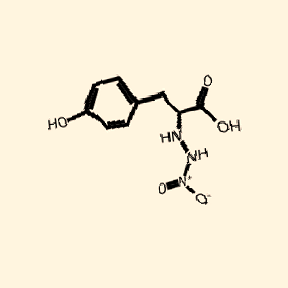 O=C(O)C(Cc1ccc(O)cc1)NN[N+](=O)[O-]